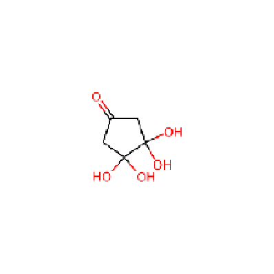 O=C1CC(O)(O)C(O)(O)C1